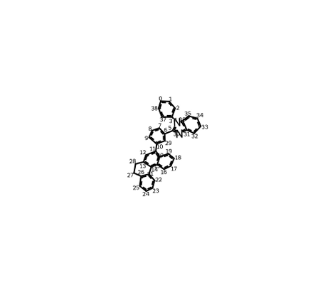 c1ccc(-n2c(-c3cccc(-c4cc5c(c6ccccc46)-c4ccccc4CC5)c3)nc3ccccc32)cc1